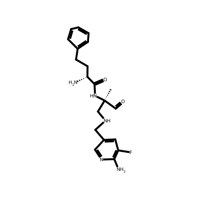 C[C@](C=O)(CNCc1cnc(N)c(F)c1)NC(=O)[C@H](N)CCc1ccccc1